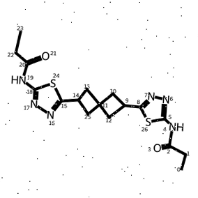 CCC(=O)Nc1nnc(C2CC3(C2)CC(c2nnc(NC(=O)CC)s2)C3)s1